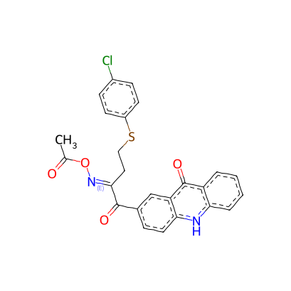 CC(=O)O/N=C(\CCSc1ccc(Cl)cc1)C(=O)c1ccc2[nH]c3ccccc3c(=O)c2c1